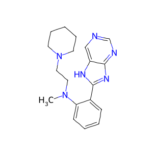 CN(CCN1CCCCC1)c1ccccc1-c1nc2ncncc2[nH]1